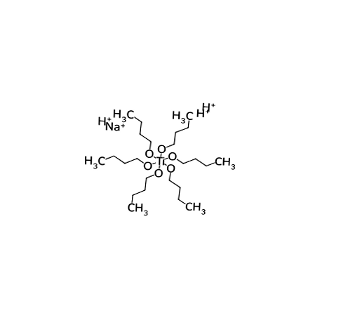 CCCC[O][Ti]([O]CCCC)([O]CCCC)([O]CCCC)([O]CCCC)[O]CCCC.[H+].[H+].[H+].[Na+]